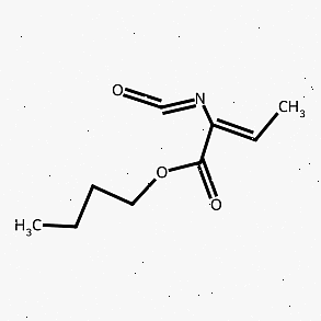 CC=C(N=C=O)C(=O)OCCCC